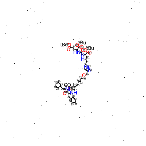 CC(C)(C)OC(=O)CC[C@H](NC(=O)NC(CCCCn1cc(COCCCCCCCC(=O)N[C@@H](Cc2ccccc2)C(=O)N[C@@H](Cc2ccccc2)C(=O)O)nn1)C(=O)OC(C)(C)C)C(=O)OC(C)(C)C